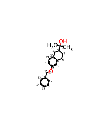 CC(C)(O)C1CCc2cc(OCc3ccccc3)ccc2C1